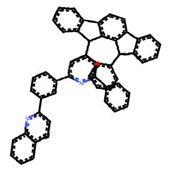 c1ccc(-c2cc(C3c4ccccc4-c4ccc5c(c43)C(c3ccccc3)c3ccccc3-5)cc(-c3cccc(-c4ccc5ccccc5n4)c3)n2)cc1